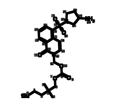 CC(C)(C)CCC(C)(C)COC(=O)OCn1ccc2c(S(=O)(=O)N3CCC(N)C3)cccc2c1=O